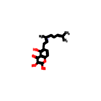 CC(C)=CCC/C(C)=C/Cc1ccc2oc(O)c(O)c(=O)c2c1O